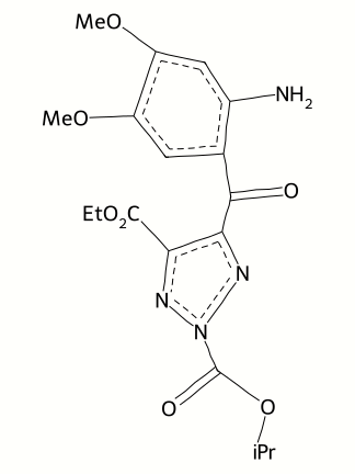 CCOC(=O)c1nn(C(=O)OC(C)C)nc1C(=O)c1cc(OC)c(OC)cc1N